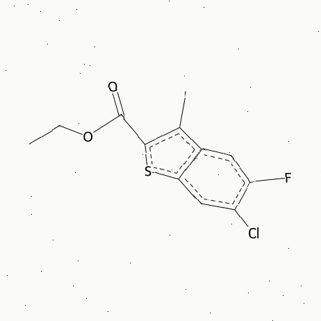 CCOC(=O)c1sc2cc(Cl)c(F)cc2c1C